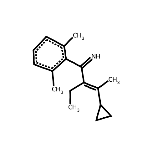 CC/C(C(=N)c1c(C)cccc1C)=C(/C)C1CC1